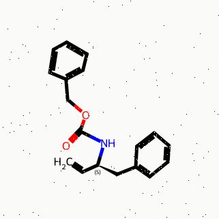 C=C[C@H](Cc1ccccc1)NC(=O)OCc1ccccc1